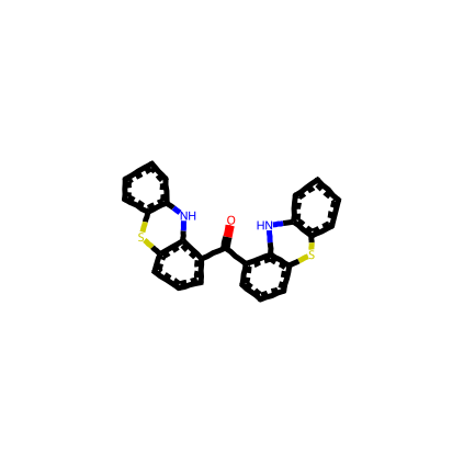 O=C(c1cccc2c1Nc1ccccc1S2)c1cccc2c1Nc1ccccc1S2